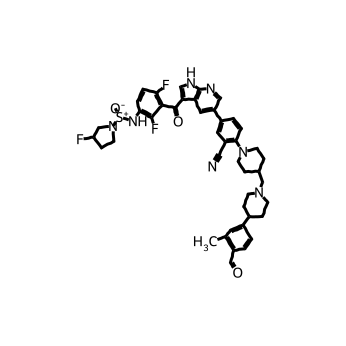 Cc1cc(C2CCN(CC3CCN(c4ccc(-c5cnc6[nH]cc(C(=O)c7c(F)ccc(N[S+]([O-])N8CCC(F)C8)c7F)c6c5)cc4C#N)CC3)CC2)ccc1C=O